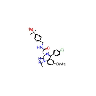 COc1ccc2c(c1)C(c1ccc(Cl)cc1)=N[C@@H](CC(=O)NCc1ccc([Si](C)(C)O)cc1)c1nnc(C)n1-2